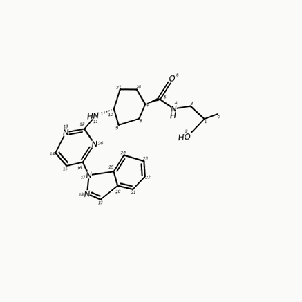 CC(O)CNC(=O)[C@H]1CC[C@H](Nc2nccc(-n3ncc4ccccc43)n2)CC1